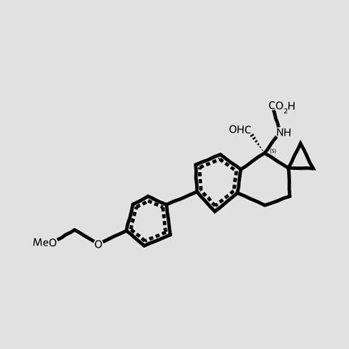 COCOc1ccc(-c2ccc3c(c2)CCC2(CC2)[C@]3(C=O)NC(=O)O)cc1